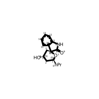 CCC[C@H]1C[C@H](O)C[C@]2(O1)C(=O)Nc1ccccc12